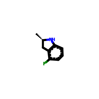 C[C@H]1Cc2c(F)cccc2N1